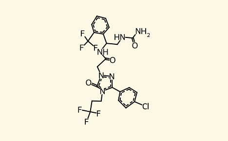 NC(=O)NCC(NC(=O)Cn1nc(-c2ccc(Cl)cc2)n(CCC(F)(F)F)c1=O)c1ccccc1C(F)(F)F